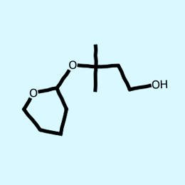 CC(C)(CCO)OC1CCCCO1